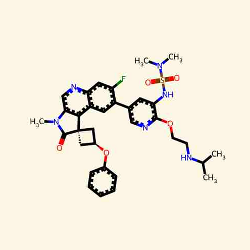 CC(C)NCCOc1ncc(-c2cc3c(cc2F)ncc2c3[C@]3(C[C@H](Oc4ccccc4)C3)C(=O)N2C)cc1NS(=O)(=O)N(C)C